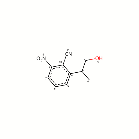 C[C](CO)c1cccc([N+](=O)[O-])c1C#N